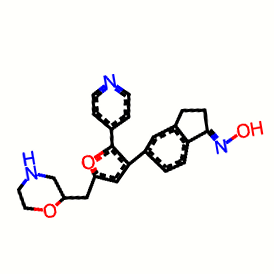 ON=C1CCc2cc(-c3cc(CC4CNCCO4)oc3-c3ccncc3)ccc21